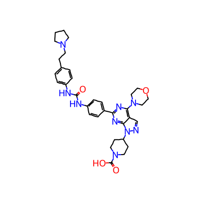 O=C(Nc1ccc(CCN2CCCC2)cc1)Nc1ccc(-c2nc(N3CCOCC3)c3cnn(C4CCN(C(=O)O)CC4)c3n2)cc1